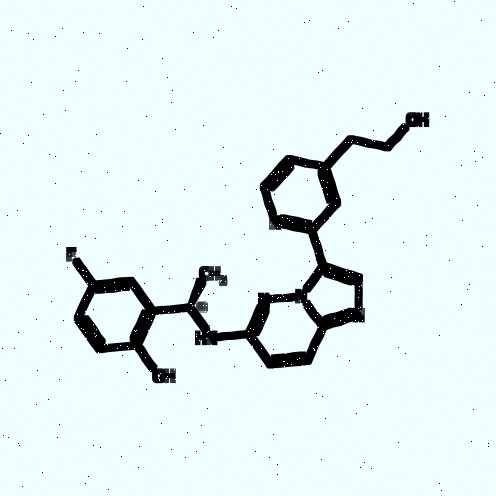 C[C@@H](Nc1ccc2ncc(-c3cc(CCO)ccn3)n2n1)c1cc(F)ccc1O